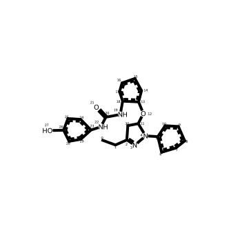 CCC1=NN(c2ccccc2)C(Oc2ccccc2NC(=O)Nc2ccc(O)cc2)C1